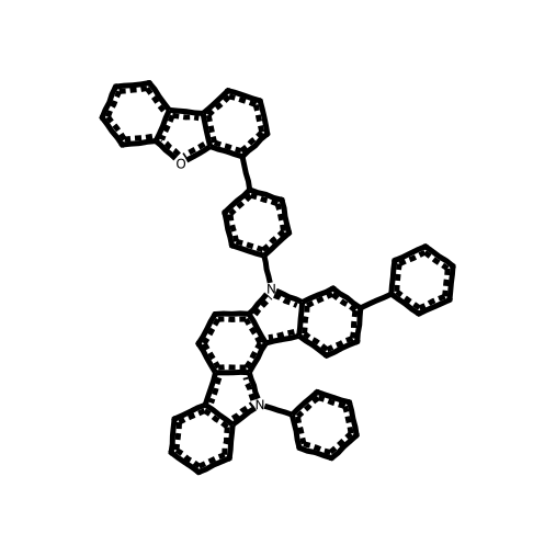 c1ccc(-c2ccc3c4c(ccc5c6ccccc6n(-c6ccccc6)c54)n(-c4ccc(-c5cccc6c5oc5ccccc56)cc4)c3c2)cc1